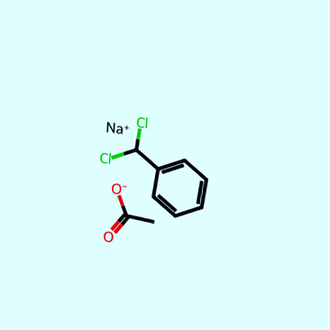 CC(=O)[O-].ClC(Cl)c1ccccc1.[Na+]